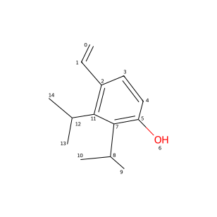 C=Cc1ccc(O)c(C(C)C)c1C(C)C